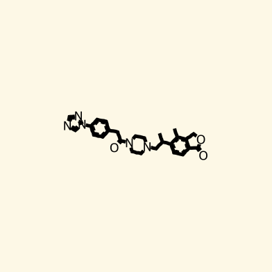 Cc1c(C(C)CN2CCN(C(=O)Cc3ccc(-n4cncn4)cc3)CC2)ccc2c1COC2=O